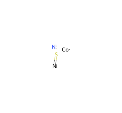 [Co].[N].[S]=[Ni]